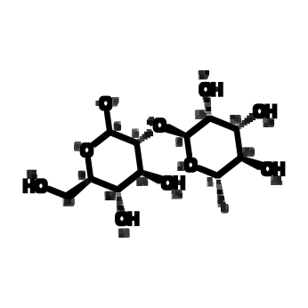 C[C@@H]1O[C@@H](O[C@H]2C([O])O[C@H](CO)[C@@H](O)[C@@H]2O)[C@H](O)[C@H](O)[C@H]1O